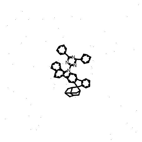 c1ccc(-c2nc(-c3ccccc3)nc(-n3c4cc5c(cc4c4ccc6ccccc6c43)C3(c4ccccc4-5)C4CC5CC(C4)CC3C5)n2)cc1